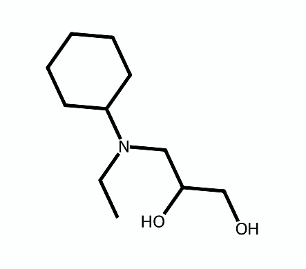 CCN(CC(O)CO)C1CCCCC1